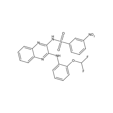 O=[N+]([O-])c1cccc(S(=O)(=O)Nc2nc3ccccc3nc2Nc2ccccc2OC(F)F)c1